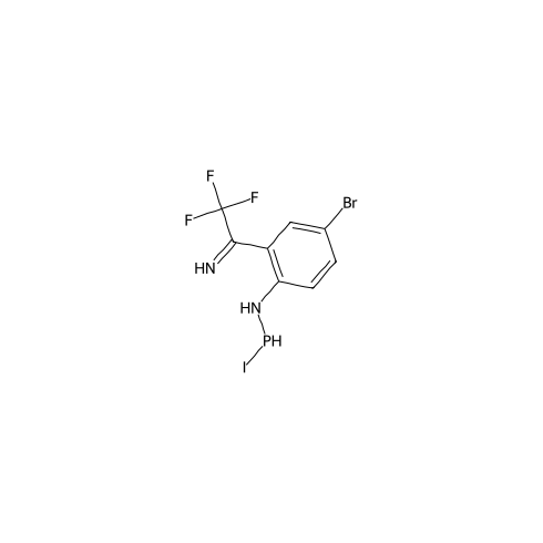 N=C(c1cc(Br)ccc1NPI)C(F)(F)F